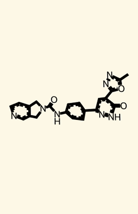 Cc1nnc(-c2cc(-c3ccc(NC(=O)N4Cc5ccncc5C4)cc3)n[nH]c2=O)o1